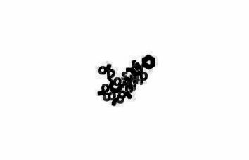 CC(=O)OC[C@H]1O[C@@H](NC(=S)Nc2c(C)n(C)n(-c3ccccc3)c2=O)[C@H](OC(C)=O)[C@@H](OC(C)=O)[C@@H]1OC(C)=O